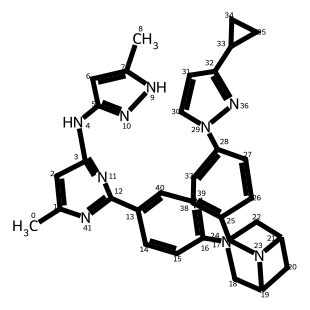 Cc1cc(Nc2cc(C)[nH]n2)nc(-c2ccc(N3CC4CC(C3)N4Cc3ccc(-n4ccc(C5CC5)n4)cc3)nc2)n1